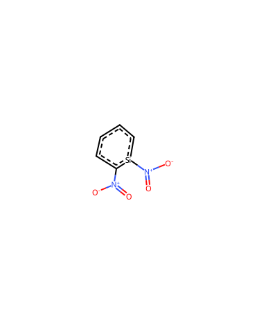 O=[N+]([O-])c1cccc[si]1[N+](=O)[O-]